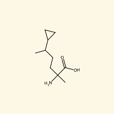 CC(CCC(C)(N)C(=O)O)C1CC1